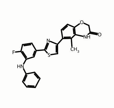 Cc1c(-c2csc(-c3ccc(F)c(Nc4ccccc4)c3)n2)ccc2c1NC(=O)CO2